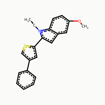 CCn1c(-c2cc(-c3ccccc3)cs2)cc2cc(OC)ccc21